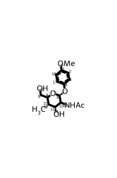 COc1ccc(O[C@@H]2OC(CO)[C@@H](C)[C@H](O)C2NC(C)=O)cc1